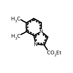 CCOC(=O)c1cn2ccc(C)c(C)c2n1